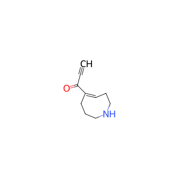 C#CC(=O)/C1=C\CCNCCC1